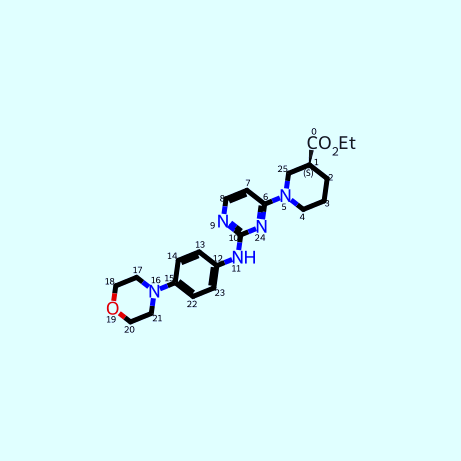 CCOC(=O)[C@H]1CCCN(c2ccnc(Nc3ccc(N4CCOCC4)cc3)n2)C1